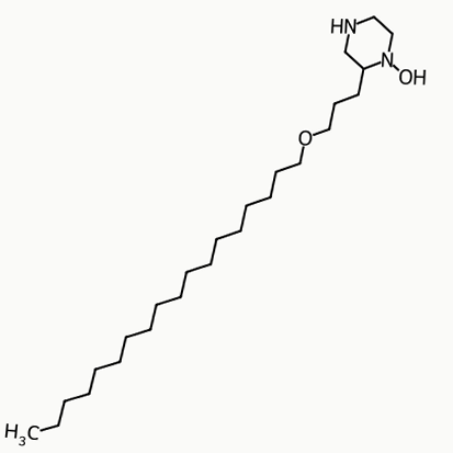 CCCCCCCCCCCCCCCCCCOCCCC1CNCCN1O